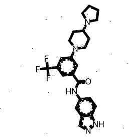 O=C(Nc1ccc2[nH]ncc2c1)c1cc(N2CCC(N3CCCC3)CC2)cc(C(F)(F)F)c1